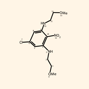 COCCNc1cc(Cl)cc(NCCOC)c1[N+](=O)[O-]